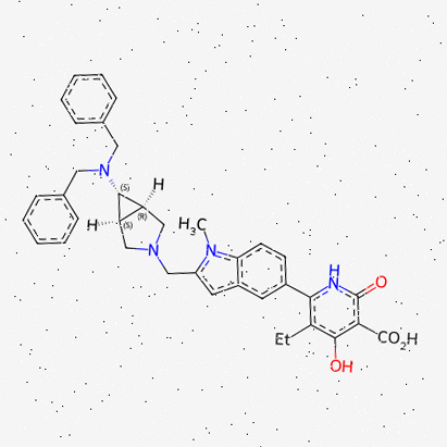 CCc1c(-c2ccc3c(c2)cc(CN2C[C@@H]4[C@H](C2)[C@H]4N(Cc2ccccc2)Cc2ccccc2)n3C)[nH]c(=O)c(C(=O)O)c1O